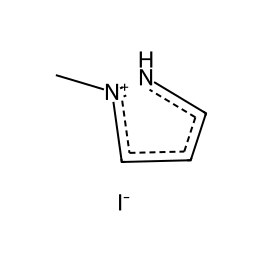 C[n+]1ccc[nH]1.[I-]